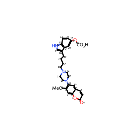 COc1cc2oc(=O)ccc2cc1N1CCN(CCCCc2c[nH]c3ccc(OC(=O)O)cc23)CC1